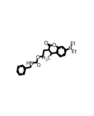 CCN(CC)c1ccc2c(c1)OC(=O)C(CCOC(=O)NCc1ccccc1)C2C